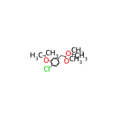 CC(C)Oc1cc(CC(=O)OC(C)(C)C)ccc1Cl